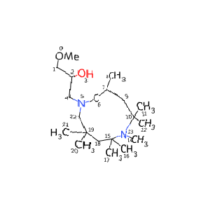 COCC(O)CN1CC(C)CC(C)(C)N(C)C(C)(C)CC(C)(C)C1